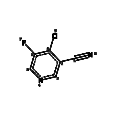 N#Cc1cncc(F)c1Cl